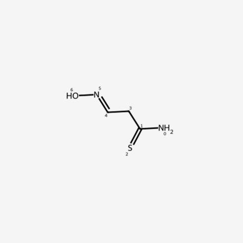 NC(=S)CC=NO